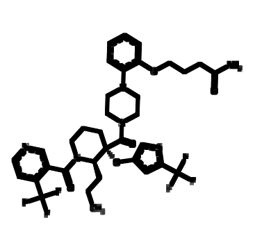 CCC[C@H]1N(C(=O)c2cnccc2C(F)(F)F)CCC[C@@]1(Oc1csc(C(F)(F)F)c1)C(=O)N1CCN(c2ccccc2OCCCC(N)=O)CC1